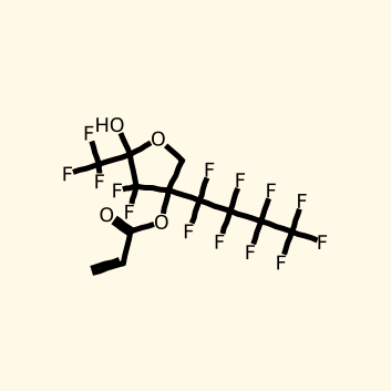 C=CC(=O)OC1(C(F)(F)C(F)(F)C(F)(F)C(F)(F)F)COC(O)(C(F)(F)F)C1(F)F